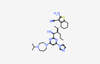 CCC/C(C(=N)c1nc(N2CCCN(C(C)C)CC2)cc(-n2ccnc2)n1)=C(/C)[C@H]1CCCc2sc(N)c(C#N)c21